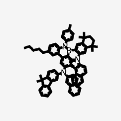 CCCCCc1ccc2c(c1)-c1cc(N(c3ccc4c(c3)-c3ccccc3C4(C)C)c3ccc4ccccc4c3)c3c4c5ccccc5ccc4n4c3c1B(c1cc3c(cc1-4)C(C)(C)CCC3(C)C)N2c1ccc(C)cc1